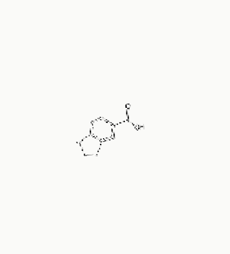 O=C(O)c1ccc2c(c1)CC[CH]2